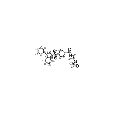 CS(=O)(=O)OC1CN(C(=O)c2ccc(S(=O)(=O)n3cc(-c4ccccc4)c4ccccc43)cc2)C1